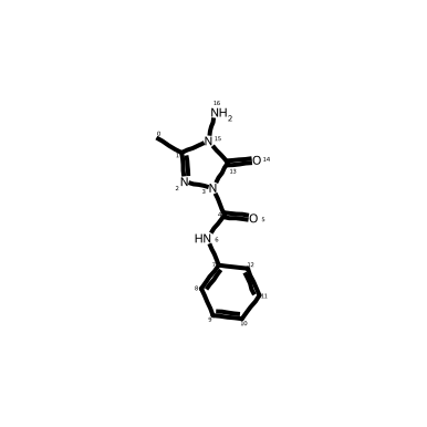 Cc1nn(C(=O)Nc2ccccc2)c(=O)n1N